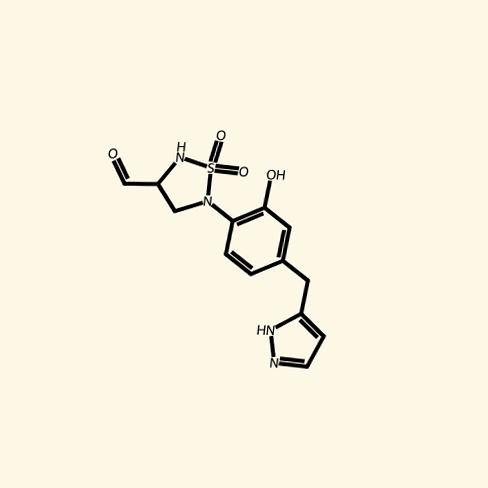 O=CC1CN(c2ccc(Cc3ccn[nH]3)cc2O)S(=O)(=O)N1